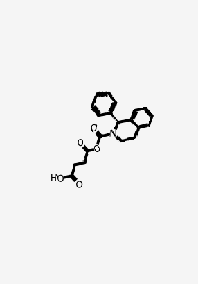 O=C(O)CCC(=O)OC(=O)N1CCc2ccccc2[C@@H]1c1ccccc1